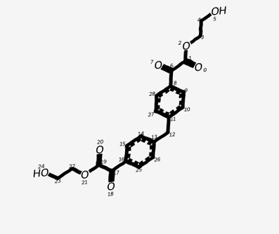 O=C(OCCO)C(=O)c1ccc(Cc2ccc(C(=O)C(=O)OCCO)cc2)cc1